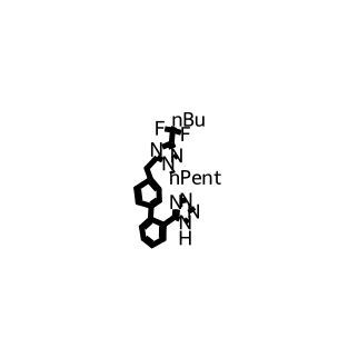 CCCCCn1nc(C(F)(F)CCCC)nc1Cc1ccc(-c2ccccc2-c2nnn[nH]2)cc1